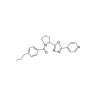 CCCc1ccc(C(=O)N2CCCC2c2nnc(-c3ccncc3)o2)cc1